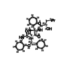 CC(C)C[C@H](O)C(=O)N[C@](N)(C(=O)[C@H]1C(=O)Nc2ccccc2O[C@H]1c1ccccc1)c1ccccc1